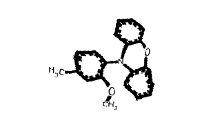 COc1cc(C)ccc1N1c2ccccc2Oc2ccccc21